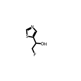 OC(CF)c1cncs1